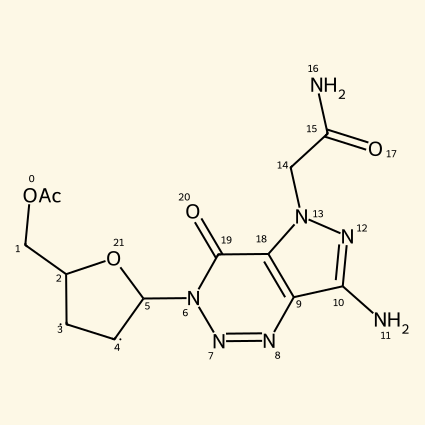 CC(=O)OCC1[CH][CH]C(n2nnc3c(N)nn(CC(N)=O)c3c2=O)O1